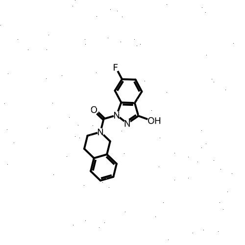 O=C(N1CCc2ccccc2C1)n1nc(O)c2ccc(F)cc21